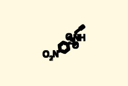 C#CCNS(=O)(=O)c1ccc([N+](=O)[O-])cc1